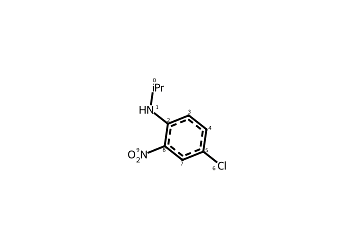 CC(C)Nc1ccc(Cl)cc1[N+](=O)[O-]